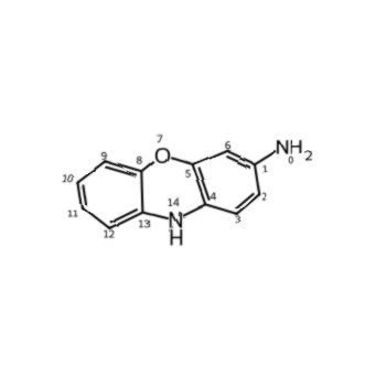 Nc1ccc2c(c1)Oc1ccccc1N2